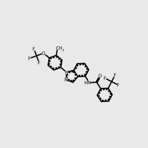 Cc1cc(-n2ncc3c(NC(=O)c4ccccc4C(F)(F)F)cccc32)ccc1OC(F)(F)F